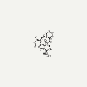 CCNC(=O)c1cc2c(n1S(=O)(=O)Cc1ccccc1)C(=C=O)N(C)C=C2